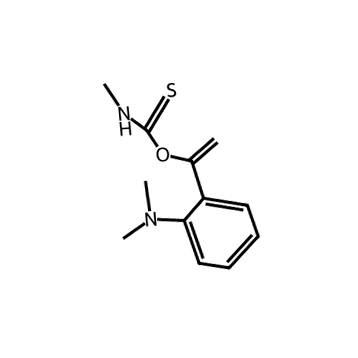 C=C(OC(=S)NC)c1ccccc1N(C)C